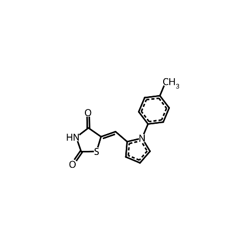 Cc1ccc(-n2cccc2/C=C2\SC(=O)NC2=O)cc1